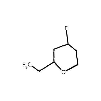 FC1CCOC(CC(F)(F)F)C1